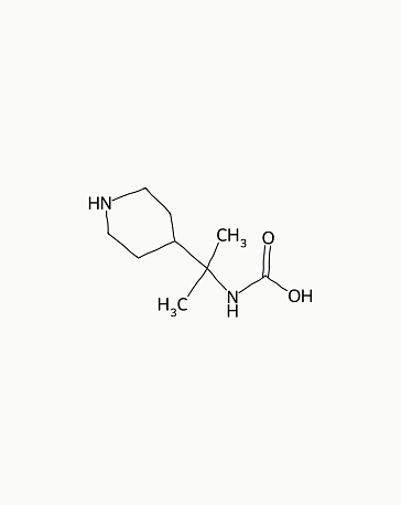 CC(C)(NC(=O)O)C1CCNCC1